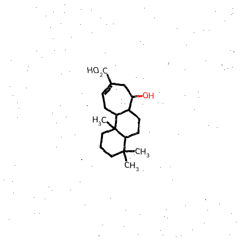 CC1(C)CCCC2(C)C3CC=C(C(=O)O)CC(O)C3CCC12